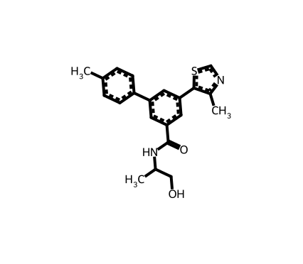 Cc1ccc(-c2cc(C(=O)NC(C)CO)cc(-c3scnc3C)c2)cc1